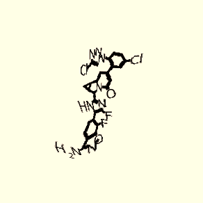 Nc1noc2c(F)c(-c3[nH]c(C4C5CC5c5cc(-c6cc(Cl)ccc6-n6cc(Cl)nn6)cc(=O)n54)nc3F)ccc12